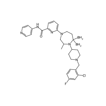 BC1(B)CCN(c2cccc(C(=O)Nc3ccncc3)n2)CC(C)N1C1CCN(Cc2ccc(F)cc2Cl)CC1